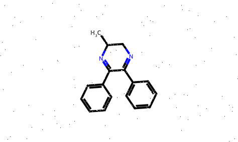 CC1CN=C(c2ccccc2)C(c2ccccc2)=N1